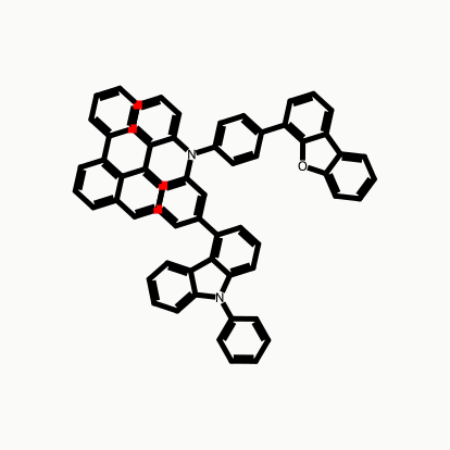 c1ccc(-c2cccc3cccc(-c4ccccc4N(c4ccc(-c5cccc6c5oc5ccccc56)cc4)c4cccc(-c5cccc6c5c5ccccc5n6-c5ccccc5)c4)c23)cc1